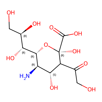 N[C@H]1[C@H]([C@H](O)[C@H](O)CO)O[C@@](O)(C(=O)O)C(C(=O)CO)[C@@H]1O